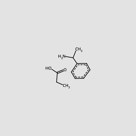 CC(N)c1ccccc1.CCC(=O)O